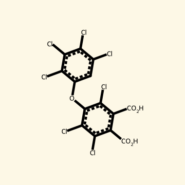 O=C(O)c1c(Cl)c(Cl)c(Oc2cc(Cl)c(Cl)c(Cl)c2Cl)c(Cl)c1C(=O)O